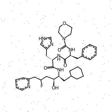 O=C(N[C@@H](CC1CCCCC1)[C@@H](O)CC(F)Cc1ccccn1)[C@H](Cc1c[nH]cn1)NC(=O)[C@H](Cc1ccccc1)NC(=O)N1CCOCC1